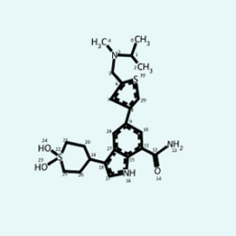 CC(C)N(C)Cc1cc(-c2cc(C(N)=O)c3[nH]cc(C4CCS(O)(O)CC4)c3c2)cs1